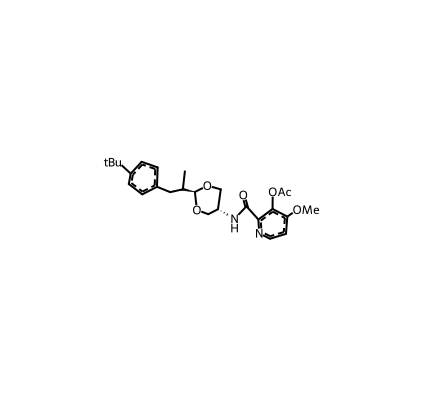 COc1ccnc(C(=O)N[C@H]2CO[C@H](C(C)Cc3ccc(C(C)(C)C)cc3)OC2)c1OC(C)=O